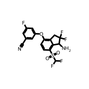 N#Cc1cc(F)cc(Oc2ccc(S(=O)(=O)C(F)F)c3c2CC(F)(F)C3N)c1